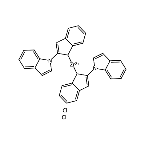 C1=C(n2ccc3ccccc32)[CH]([Zr+2][CH]2C(n3ccc4ccccc43)=Cc3ccccc32)c2ccccc21.[Cl-].[Cl-]